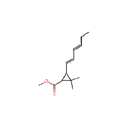 CCC=C/C=C/C1C(C(=O)OC)C1(C)C